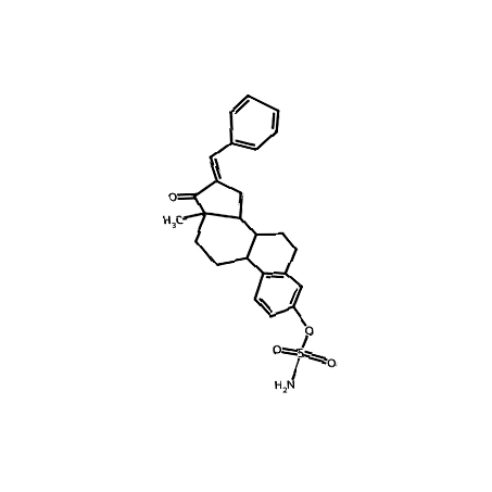 CC12CCC3c4ccc(OS(N)(=O)=O)cc4CCC3C1C/C(=C\c1ccccc1)C2=O